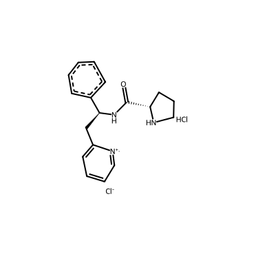 Cl.O=C(N[C@@H](CC1=CC=CC=[N+]1)c1ccccc1)[C@@H]1CCCN1.[Cl-]